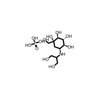 O=P(O)(O)O.OCC(CO)N[C@H]1C[C@](O)(CO)[C@@H](O)[C@H](O)[C@H]1O